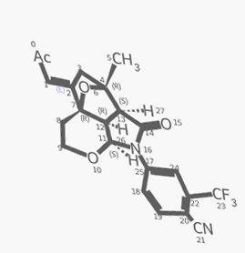 CC(=O)/C=C1\C[C@@]2(C)O[C@@]13CCO[C@H]1[C@@H]3[C@@H]2C(=O)N1c1ccc(C#N)c(C(F)(F)F)c1